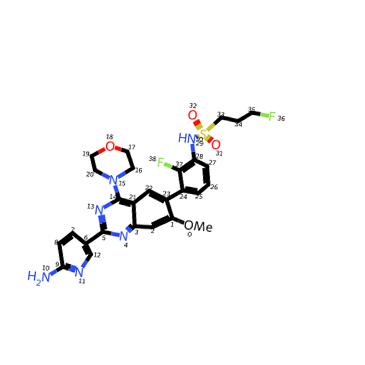 COc1cc2nc(-c3ccc(N)nc3)nc(N3CCOCC3)c2cc1-c1cccc(NS(=O)(=O)CCCF)c1F